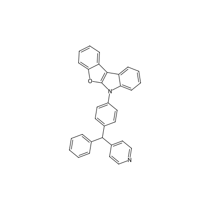 c1ccc(C(c2ccncc2)c2ccc(-n3c4ccccc4c4c5ccccc5oc43)cc2)cc1